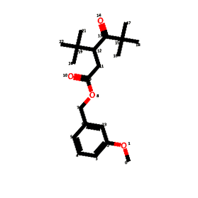 COc1cccc(COC(=O)CC(C(=O)C(C)(C)C)C(C)(C)C)c1